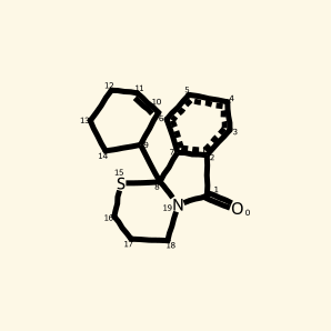 O=C1c2ccccc2C2(C3C=CCCC3)SCCCN12